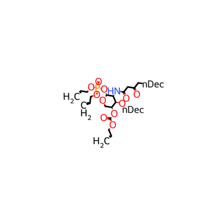 C=CCOC(=O)O[C@@H]1CO[C@H](OP(=O)(OCC=C)OCC=C)[C@H](NC(=O)CC(=O)CCCCCCCCCCC)[C@H]1OCCCCCCCCCC